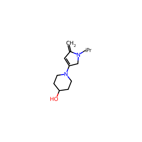 C=C1C=C(N2CCC(O)CC2)CN1C(C)C